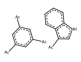 CC(=O)c1c[nH]c2ccccc12.CC(=O)c1cc(C(C)=O)cc(C(C)=O)c1